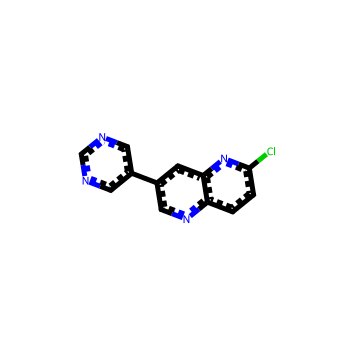 Clc1ccc2ncc(-c3cncnc3)cc2n1